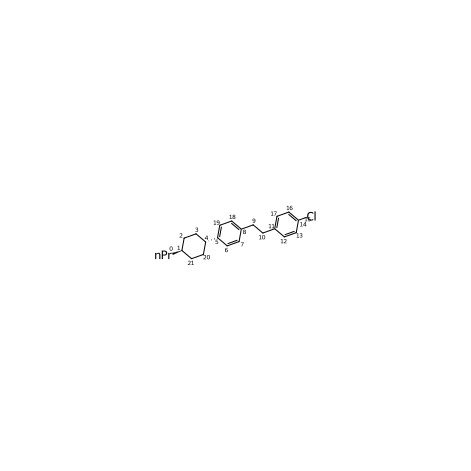 CCC[C@H]1CC[C@H](c2ccc(CCc3ccc(Cl)cc3)cc2)CC1